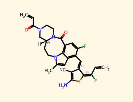 C=CC(=O)N1CCN2C(=O)c3cc(F)c(/C=c4\c(C#N)c(N)s\c4=C(/F)C=C)c4cc(C)n(c34)CC[C@@H]2C1